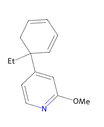 CCC1(c2ccnc(OC)c2)C=CC=CC1